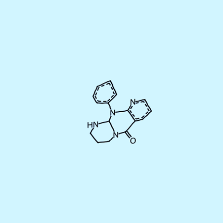 O=C1c2cccnc2N(c2ccccc2)C2NCCCN12